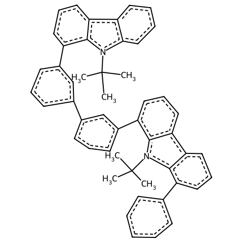 CC(C)(C)n1c2ccccc2c2cccc(-c3cccc(-c4cccc(-c5cccc6c7cccc(-c8ccccc8)c7n(C(C)(C)C)c56)c4)c3)c21